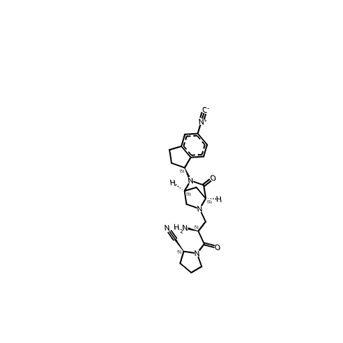 [C-]#[N+]c1ccc2c(c1)CC[C@@H]2N1C(=O)[C@@H]2C[C@H]1CN2C[C@H](N)C(=O)N1CCC[C@H]1C#N